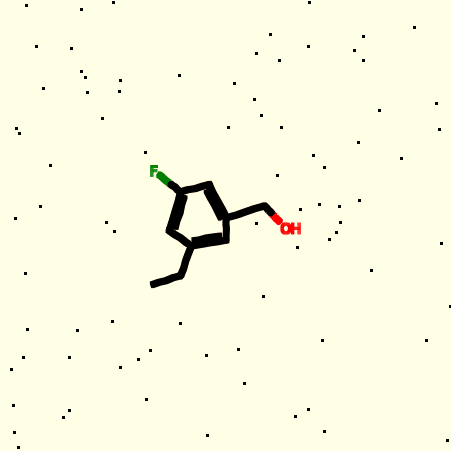 CCc1cc(F)cc(CO)c1